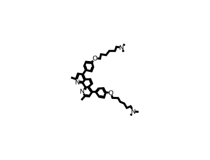 Cc1cc(-c2ccc(OCCCCCCN(C)C)cc2)c2ccc3c(-c4ccc(OCCCCCCN(C)C)cc4)cc(C)nc3c2n1